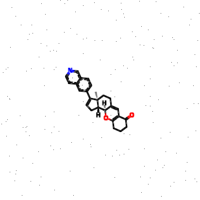 C[C@]12CCC3=CC4=C(CCCC4=O)O[C@H]3[C@@H]1CC=C2c1ccc2cnccc2c1